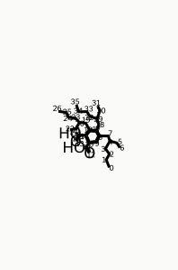 CCCCC(CC)Cc1cc(C(=O)O)c(C(=O)O)c(CC(CC)CCCC)c1CC(CC)CCCC